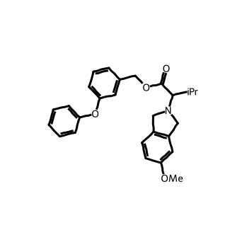 COc1ccc2c(c1)CN(C(C(=O)OCc1cccc(Oc3ccccc3)c1)C(C)C)C2